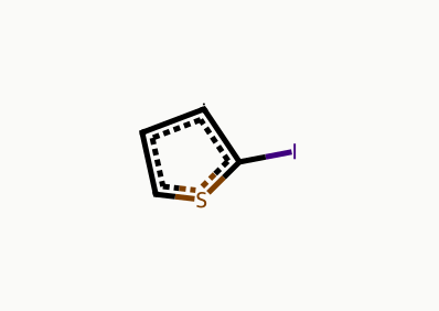 Ic1[c]ccs1